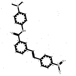 CN(C)c1ccc(NC(=O)c2cccc(/C=C/c3ccc([N+](=O)[O-])cc3)c2)cc1